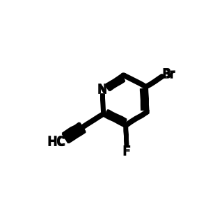 C#Cc1ncc(Br)cc1F